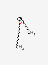 CCCCCCCCCCCCCCOC12CCC(CC1CCCCCCCC)C2